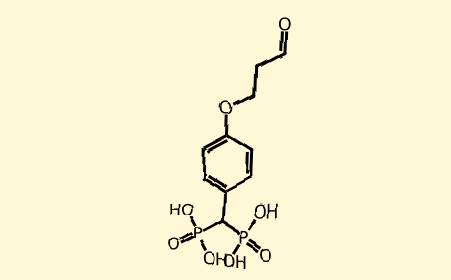 O=CCCOc1ccc(C(P(=O)(O)O)P(=O)(O)O)cc1